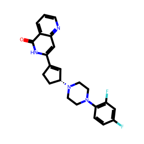 O=c1[nH]c(C2=C[C@H](N3CCN(c4ccc(F)cc4F)CC3)CC2)cc2ncccc12